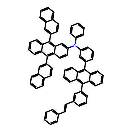 C(=C\c1cccc(-c2c3ccccc3c(-c3cccc(N(c4ccccc4)c4ccc5c(-c6ccc7ccccc7c6)c6ccccc6c(-c6ccc7ccccc7c6)c5c4)c3)c3ccccc23)c1)/c1ccccc1